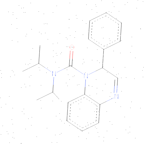 CC(C)N(C(=O)N1c2ccccc2N=CC1c1ccccc1)C(C)C